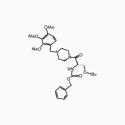 COc1ccc(CN2CCN(C(=O)[C@H](COC(C)(C)C)NC(=O)OCc3ccccc3)CC2)c(OC)c1OC